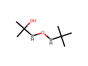 CC(C)(C)BOBC(C)(C)O